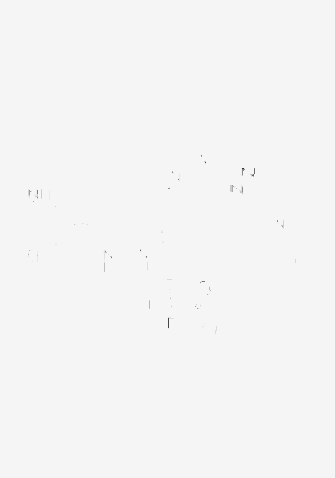 NCc1ccc(NC(=O)Nc2ccc(-c3cc(CN4CCOCC4)n4ncnc(N)c34)cc2)cc1Cl.O=C(O)C(F)(F)F